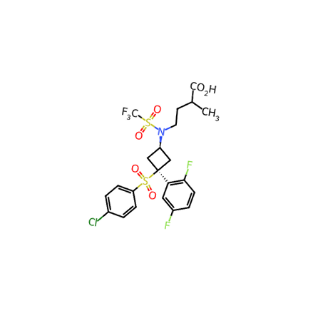 CC(CCN([C@H]1C[C@@](c2cc(F)ccc2F)(S(=O)(=O)c2ccc(Cl)cc2)C1)S(=O)(=O)C(F)(F)F)C(=O)O